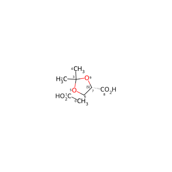 CC(=O)O.CC1(C)OC[C@@H](C(=O)O)O1